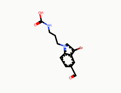 O=Cc1ccc2c(c1)c(Br)cn2CCCNC(=O)O